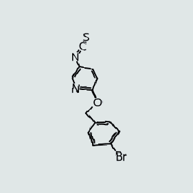 S=C=Nc1ccc(OCc2ccc(Br)cc2)nc1